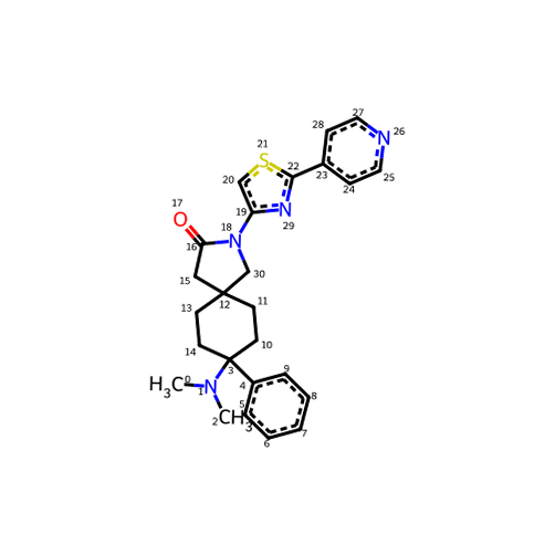 CN(C)C1(c2ccccc2)CCC2(CC1)CC(=O)N(c1csc(-c3ccncc3)n1)C2